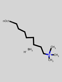 B.CCCCCCCCCCCCCCCC[N+](C)(C)C.[H-]